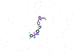 Cc1noc(CC2CCC(c3ncc(-c4ccc(NC(=O)Nc5cc(F)cc(F)c5)cc4)s3)CC2)n1